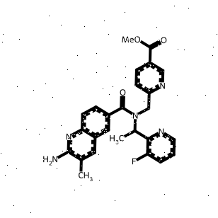 COC(=O)c1ccc(CN(C(=O)c2ccc3nc(N)c(C)cc3c2)C(C)c2ncccc2F)nc1